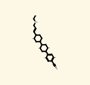 CCOC/C=C/C1CCC(C2CCC(c3ccc(C#N)cc3)CC2)CC1